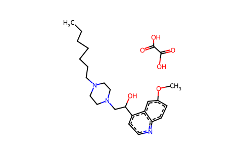 CCCCCCCN1CCN(CC(O)c2ccnc3ccc(OC)cc23)CC1.O=C(O)C(=O)O